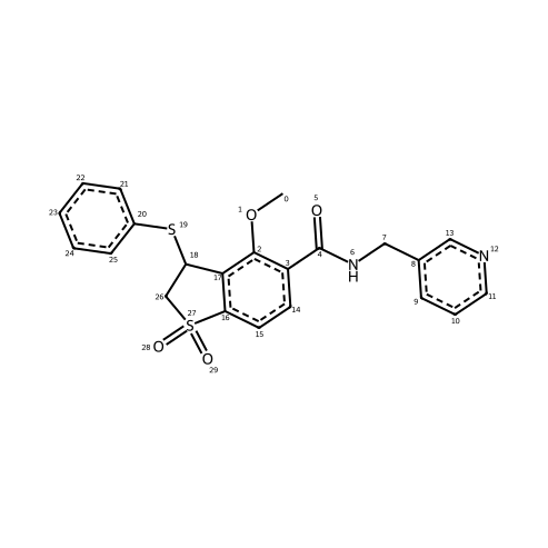 COc1c(C(=O)NCc2cccnc2)ccc2c1C(Sc1ccccc1)CS2(=O)=O